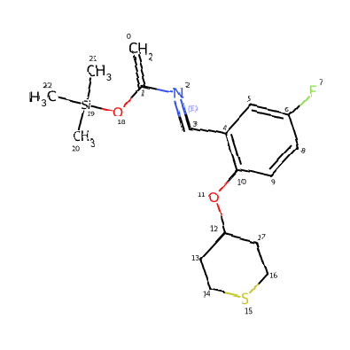 C=C(/N=C/c1cc(F)ccc1OC1CCSCC1)O[Si](C)(C)C